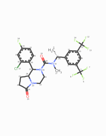 C[C@H](c1cc(C(F)(F)F)cc(C(F)(F)F)c1)N(C)C(=O)N1CCN2C(=O)CCC2C1c1ccc(F)cc1Cl